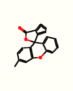 Cc1ccc2c(c1)Oc1ccccc1C21OC(=O)c2ccccc21